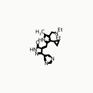 CCN(CC)Cc1c(C)[nH]c(C=C2C(=O)NN=C2c2cncnc2)c1C1CC1